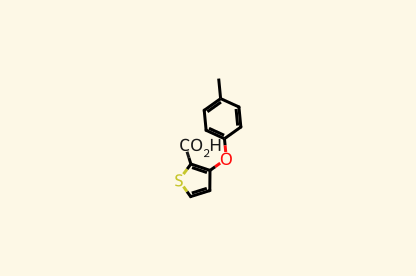 Cc1ccc(Oc2ccsc2C(=O)O)cc1